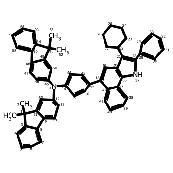 CC1(C)c2ccccc2-c2ccc(N(c3ccc(-c4cc5c(C6CCCCC6)c(-c6ccccc6)[nH]c5c5ccccc45)cc3)c3ccc4c(c3)C(C)(C)c3ccccc3-4)cc21